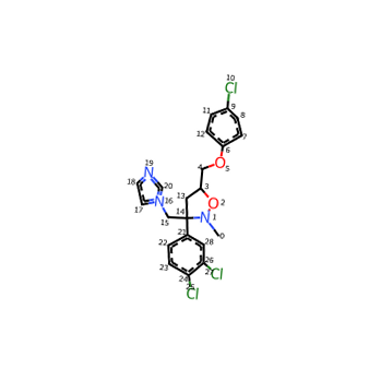 CN1OC(COc2ccc(Cl)cc2)CC1(Cn1ccnc1)c1ccc(Cl)c(Cl)c1